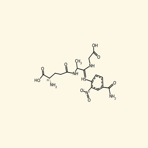 CC(NC(=O)CC[C@H](N)C(=O)O)C(NCC(=O)O)=[SH]c1ccc(C(N)=O)cc1[N+](=O)[O-]